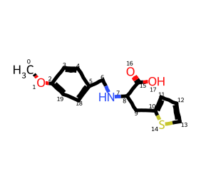 COc1ccc(CNC(Cc2cccs2)C(=O)O)cc1